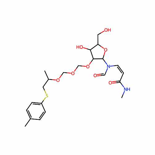 CNC(=O)/C=C\N(C=O)C1OC(CO)C(O)C1OCOCOC(C)CSc1ccc(C)cc1